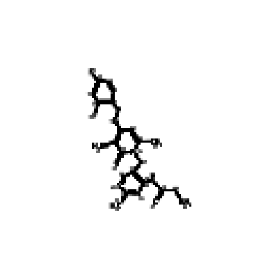 Bc1c(OCc2ccc(F)cc2F)cc(C)n(Cc2cnc(C)nc2NC(=O)CN)c1=O